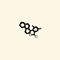 Cc1cc(C)c(-c2cccc3c2c[c]c2ccccc23)c(C(Cl)Cl)c1